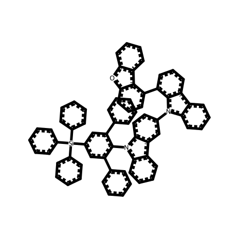 c1ccc(-c2cc([Si](c3ccccc3)(c3ccccc3)c3ccccc3)cc(-c3ccccc3)c2-n2c3ccccc3c3cc(-n4c5ccccc5c5cccc(-c6cccc7oc8ccccc8c67)c54)ccc32)cc1